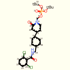 CC(C)(C)OP(=O)(OCn1ccc(-c2ccc(CNC(=O)c3c(Cl)cccc3Cl)cc2)cc1=O)OC(C)(C)C